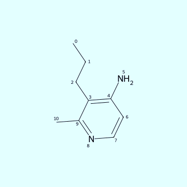 CCCc1c(N)ccnc1C